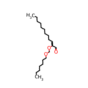 CCCCCCCCCC=C(C=O)OCOCCCCCCC